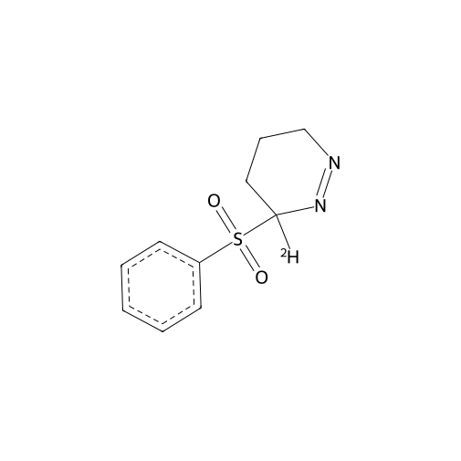 [2H]C1(S(=O)(=O)c2ccccc2)CCCN=N1